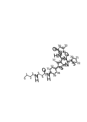 CCCCNCCC(=O)Nc1ccc(-c2sc3nc(-c4cccs4)nc(NN4C(=O)C=C(C)C4=O)c3c2C)cc1